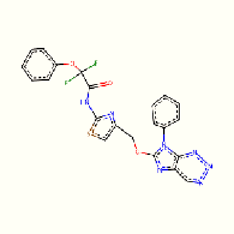 O=C(Nc1nc(COc2nc3cnnnc3n2-c2ccccc2)cs1)C(F)(F)Oc1ccccc1